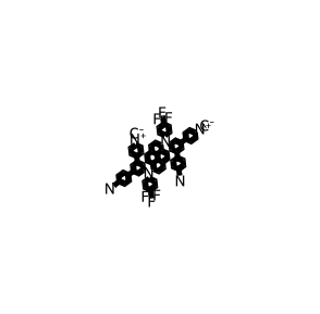 [C-]#[N+]c1ccc(-c2cc(-c3ccc(C#N)cc3)cc(N(c3ccc(C(F)(F)F)cc3)c3ccc4ccc5c(N(c6ccc(C(F)(F)F)cc6)c6cc(-c7ccc(C#N)cc7)cc(-c7ccc([N+]#[C-])cc7)c6)ccc6ccc3c4c65)c2)cc1